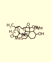 COC1C(O)CCC(O)(CSC)C1(C(=O)NC(=O)CCl)C1(C)OC1CC=C(C)C